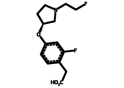 O=C(O)Cc1ccc(O[C@H]2CCN(CCF)C2)cc1F